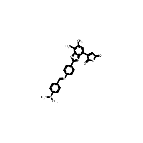 Cc1cc(C2=CC(=O)OC2=O)c2nc(-c3ccc(/N=C/c4ccc(N(C)C)cc4)cc3)sc2c1N